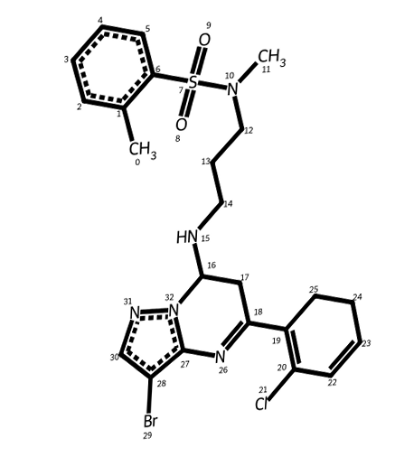 Cc1ccccc1S(=O)(=O)N(C)CCCNC1CC(C2=C(Cl)C=CCC2)=Nc2c(Br)cnn21